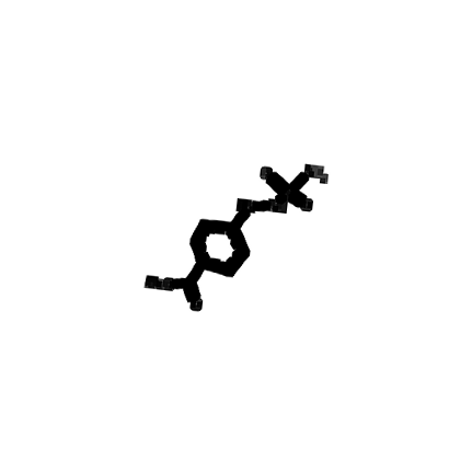 COC(=O)c1ccc(NNS(N)(=O)=O)cc1